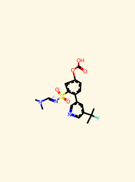 CN(C)/C=N/S(=O)(=O)c1cc(OC(=O)O)ccc1-c1cncc(C(C)(C)F)c1